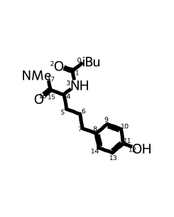 CCC(C)C(=O)NC(CCCc1ccc(O)cc1)C(=O)NC